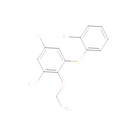 COCOc1c(C)cc(C(C)(C)C)cc1Pc1ccccc1C=O